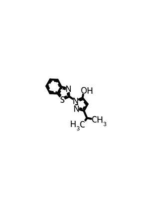 CC(C)c1cc(O)n(-c2nc3ccccc3s2)n1